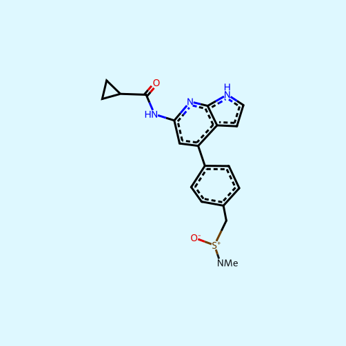 CN[S+]([O-])Cc1ccc(-c2cc(NC(=O)C3CC3)nc3[nH]ccc23)cc1